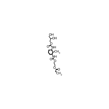 C=CC(=O)OCCOC(=O)Nc1cccc(NC(=O)OCC(O)CO)c1C